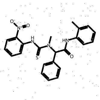 Cc1ccccc1NC(=O)C(c1ccccc1)N(C)C(=S)Nc1ccccc1[N+](=O)[O-]